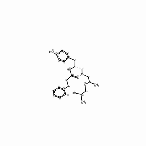 C[C@H](COC[C@@H](Cc1ccc(O)cc1)NC(=O)CCc1ccccc1)OC[C@@H](C)O